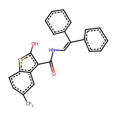 O=C(NC=C(c1ccccc1)c1ccccc1)c1c(O)sc2ccc(C(F)(F)F)cc12